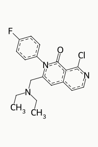 CCN(CC)Cc1cc2ccnc(Cl)c2c(=O)n1-c1ccc(F)cc1